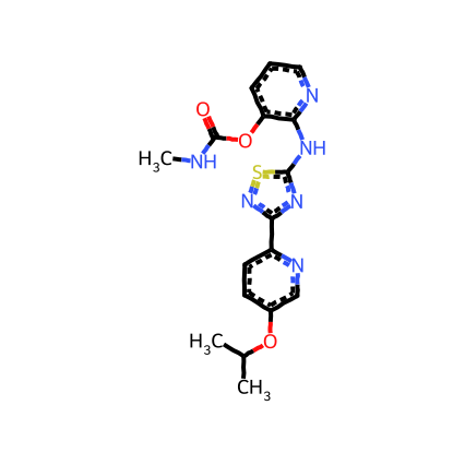 CNC(=O)Oc1cccnc1Nc1nc(-c2ccc(OC(C)C)cn2)ns1